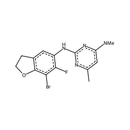 CNc1cc(C)nc(Nc2cc3c(c(Br)c2F)OCC3)n1